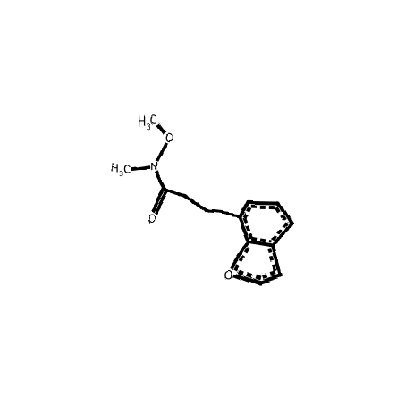 CON(C)C(=O)CCc1cccc2ccoc12